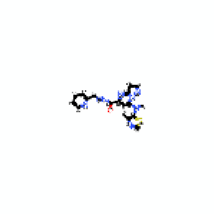 Cc1nc(C)c(N(C)c2cc(C(=O)NCCc3ccccn3)nc3ccnn23)s1